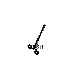 CCCCCCCCCCCCCCCC[C@@H](O)[C@H](C)N(Cc1ccccc1)Cc1ccccc1